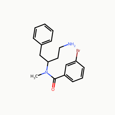 CN(C(=O)c1cccc(Br)c1)C(CCN)Cc1ccccc1